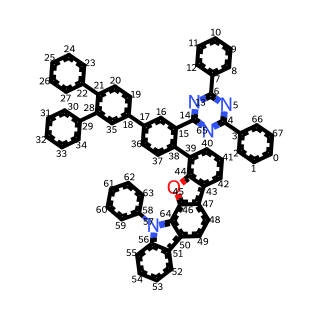 c1ccc(-c2nc(-c3ccccc3)nc(-c3cc(-c4ccc(-c5ccccc5)c(-c5ccccc5)c4)ccc3-c3cccc4c3oc3c4ccc4c5ccccc5n(-c5ccccc5)c43)n2)cc1